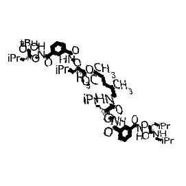 CC(C)CNC(=O)[C@@H](CC(C)C)ONC(=O)c1cccc(C(=O)NO[C@H](CC(C)C)C(=O)NCC(C)CCC(C)(C)OC(=O)[C@@H](CC(C)C)ONC(=O)c2cccc(C(=O)NO[C@H](CC(C)C)C(=O)OC(C)(C)C)c2)c1